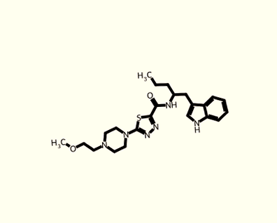 CCCC(Cc1c[nH]c2ccccc12)NC(=O)c1nnc(N2CCN(CCOC)CC2)s1